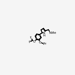 CNCC1=CCC(c2ccc(OC(F)F)c(OC(C)C)c2)N1